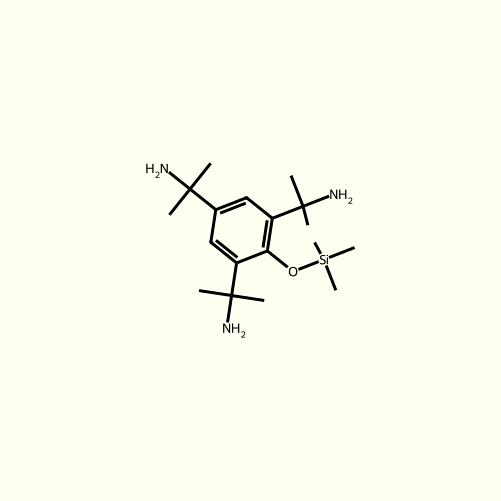 CC(C)(N)c1cc(C(C)(C)N)c(O[Si](C)(C)C)c(C(C)(C)N)c1